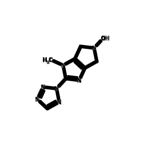 Cn1c(-n2ncnn2)nc2c1CN(O)C2